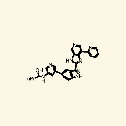 CCCC(O)Nc1cncc(-c2ccc3[nH]nc(-c4nc5c(-c6ccccn6)cncc5[nH]4)c3c2)c1